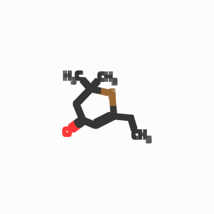 CCC1=CC(=O)CC(C)(C)S1